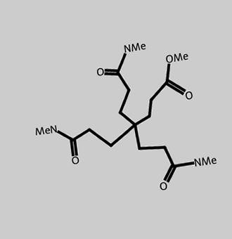 CNC(=O)CCC(CCC(=O)NC)(CCC(=O)NC)CCC(=O)OC